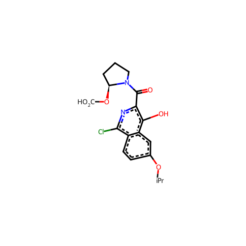 CC(C)Oc1ccc2c(Cl)nc(C(=O)N3CCC[C@@H]3OC(=O)O)c(O)c2c1